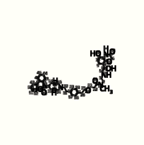 CN(CCNC[C@H](O)c1ccc(O)c2c1OCC(=O)N2)C(=O)CCOCCc1ccc(CCN2C[C@H]3CC(N(C(=O)O)c4ccccc4-c4ccccc4)C[C@H]3C2)cc1